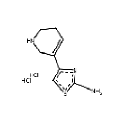 Cl.Cl.Nc1nc(C2=CCCNC2)cs1